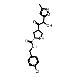 Cc1cc(C(O)C(=O)[C@H]2CN[C@H](C(=O)NCc3ccc(Cl)cc3)C2)on1